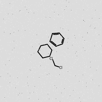 C1CCCCC1.ClCCl.c1ccccc1